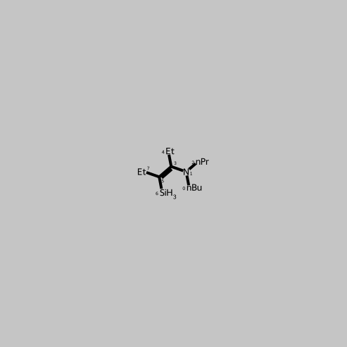 CCCCN(CCC)C(CC)=C([SiH3])CC